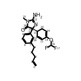 C=CCCCc1cccc([C@@]2(C3C=CC(OC(F)F)=CC3)N=C(N)N(C)C2=O)c1